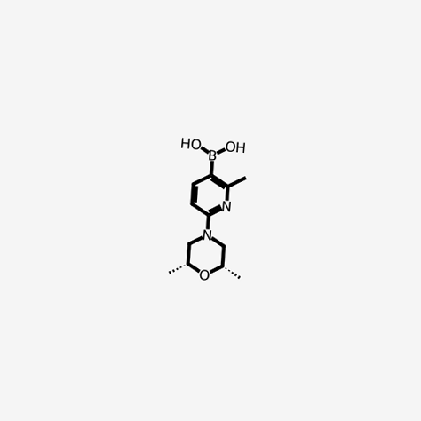 Cc1nc(N2C[C@@H](C)O[C@@H](C)C2)ccc1B(O)O